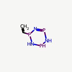 C=Cp1np[nH][pH][nH]1